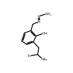 CCCCC(CC)Cc1cccc(C/N=N/[SiH3])c1O